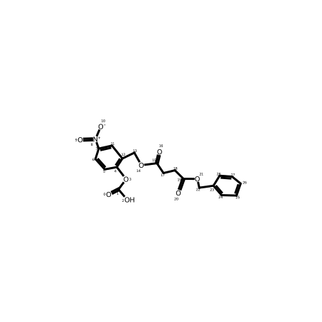 O=C(O)Oc1ccc([N+](=O)[O-])cc1COC(=O)CCC(=O)OCc1ccccc1